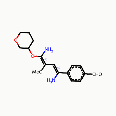 COC(/C=C(\N)c1ccc(C=O)cc1)=C(/N)OC1CCCOC1